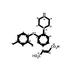 Cc1ccc(Sc2ccccc2N2CCNCC2)c(C)c1.O=C(O)C=CC(=O)O